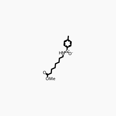 COC(=O)CCCCCCCN[S+]([O-])c1ccc(C)cc1